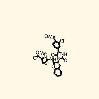 COC(=O)c1csc(NC(=O)[C@H](Cc2ccccc2)N2C(=O)NC(c3ccc(OC)c(Cl)c3)C2=O)n1